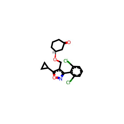 O=C1CCC[C@H](OCc2c(-c3c(Cl)cccc3Cl)noc2C2CC2)C1